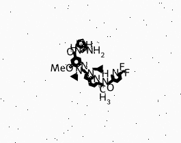 COc1cc(C(=O)N2C[C@H](N)[C@@H]3CC[C@H]2C3)cc2nc(-c3cc4ccc([C@@H](C)NC(=O)c5ccc(C(F)F)nc5)nc4n3CC3CC3)n(C3CC3)c12